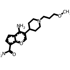 COCCCN1CCC(c2coc3c(C(N)=O)ccc-3c2N)CC1